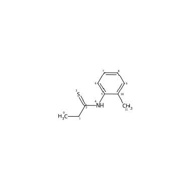 CCC(=S)Nc1ccccc1C